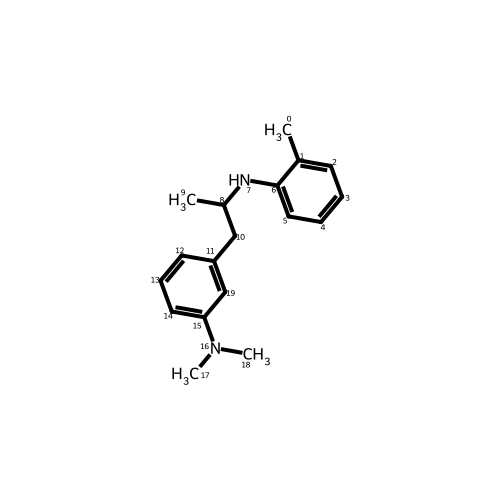 Cc1ccccc1NC(C)Cc1cccc(N(C)C)c1